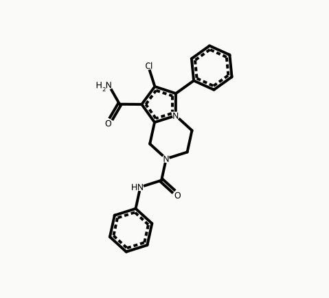 NC(=O)c1c(Cl)c(-c2ccccc2)n2c1CN(C(=O)Nc1ccccc1)CC2